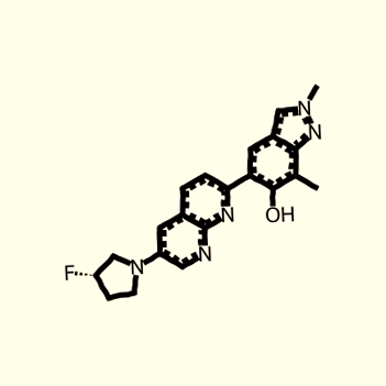 Cc1c(O)c(-c2ccc3cc(N4CC[C@H](F)C4)cnc3n2)cc2cn(C)nc12